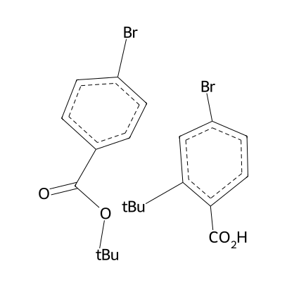 CC(C)(C)OC(=O)c1ccc(Br)cc1.CC(C)(C)c1cc(Br)ccc1C(=O)O